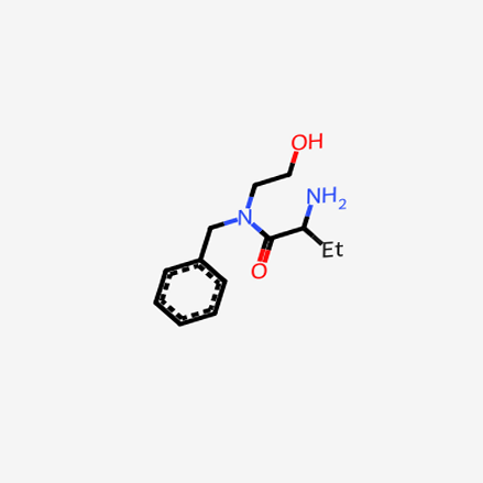 CCC(N)C(=O)N(CCO)Cc1ccccc1